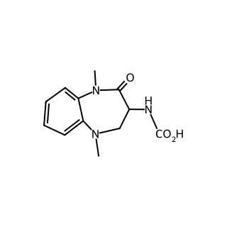 CN1CC(NC(=O)O)C(=O)N(C)c2ccccc21